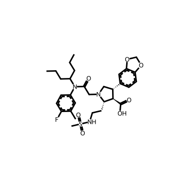 CCCC(CCC)N(C(=O)CN1C[C@H](c2ccc3c(c2)OCO3)[C@@H](C(=O)O)[C@@H]1CCNS(C)(=O)=O)c1ccc(F)c(C)c1